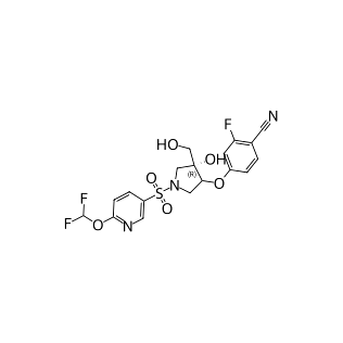 N#Cc1ccc(OC2CN(S(=O)(=O)c3ccc(OC(F)F)nc3)C[C@@]2(O)CO)cc1F